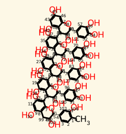 Cc1ccc([C@H]2Oc3c(c(O)cc(O)c3[C@H]3c4c(O)cc(O)c([C@H]5c6c(O)cc(O)c([C@H]7c8c(O)cc(O)c([C@H]9c%10c(O)cc(O)cc%10O[C@H](c%10ccc(O)c(O)c%10)[C@@H]9O)c8O[C@H](c8ccc(O)c(O)c8)[C@@H]7O)c6O[C@H](c6ccc(O)c(O)c6)[C@@H]5O)c4O[C@H](c4ccc(O)c(O)c4)[C@@H]3O)C[C@H]2O)cc1O